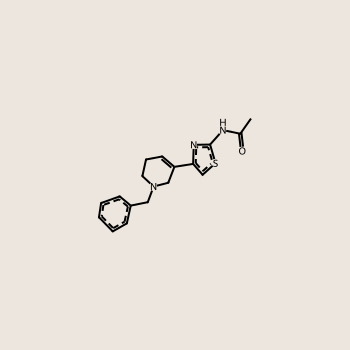 CC(=O)Nc1nc(C2=CCCN(Cc3ccccc3)C2)cs1